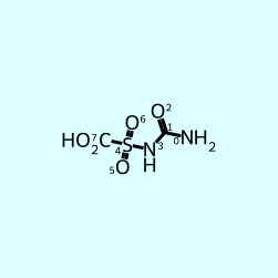 NC(=O)NS(=O)(=O)C(=O)O